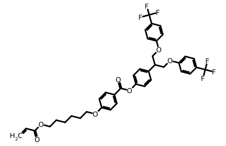 C=CC(=O)OCCCCCCOc1ccc(C(=O)Oc2ccc(C(COc3ccc(C(F)(F)F)cc3)COc3ccc(C(F)(F)F)cc3)cc2)cc1